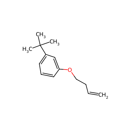 C=CCCOc1cccc(C(C)(C)C)c1